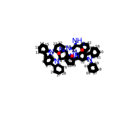 CNC1CC(N2c3c(ccc4c5ccccc5n(-c5ccccc5)c34)C3C=CCCC32)C=N/C1=N/C(=C(\N)c1ccccc1)n1c2ccccc2c2cc3c(cc21)c1ccccc1n3-c1ccccc1